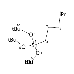 CC(C)CC[CH2][Sn]([O]C(C)(C)C)([O]C(C)(C)C)[O]C(C)(C)C